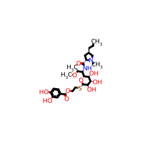 CCC[C@@H]1C[C@@H](C(=O)N[C@@H]([C@H]2O[C@H](SCCOC(=O)c3ccc(O)c(O)c3)[C@H](O)[C@@H](O)[C@H]2O)[C@@H](C)OC)N(C)C1